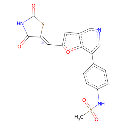 CS(=O)(=O)Nc1ccc(-c2cncc3cc(/C=C4\SC(=O)NC4=O)oc23)cc1